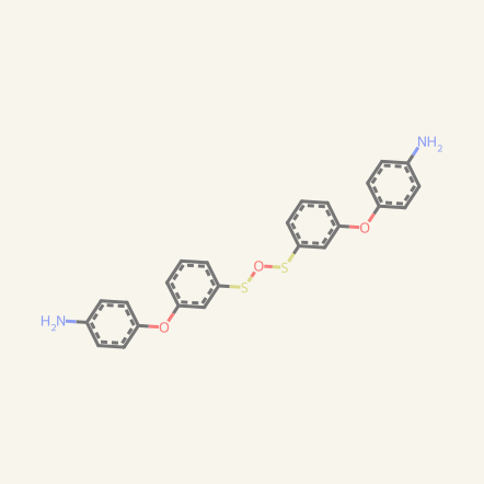 Nc1ccc(Oc2cccc(SOSc3cccc(Oc4ccc(N)cc4)c3)c2)cc1